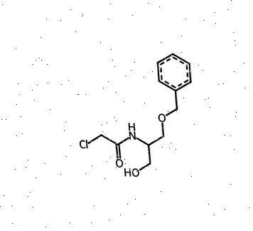 O=C(CCl)NC(CO)COCc1ccccc1